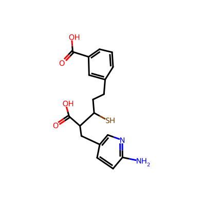 Nc1ccc(CC(C(=O)O)C(S)CCc2cccc(C(=O)O)c2)cn1